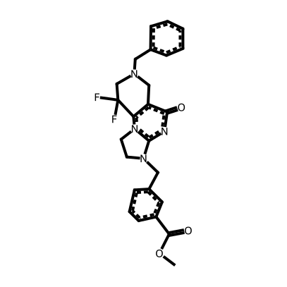 COC(=O)c1cccc(CN2CCn3c2nc(=O)c2c3C(F)(F)CN(Cc3ccccc3)C2)c1